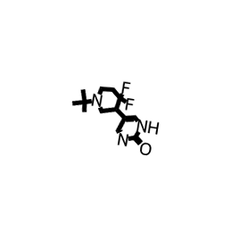 CC(C)(C)N1CCC(F)(F)C(c2cnc(=O)[nH]c2)C1